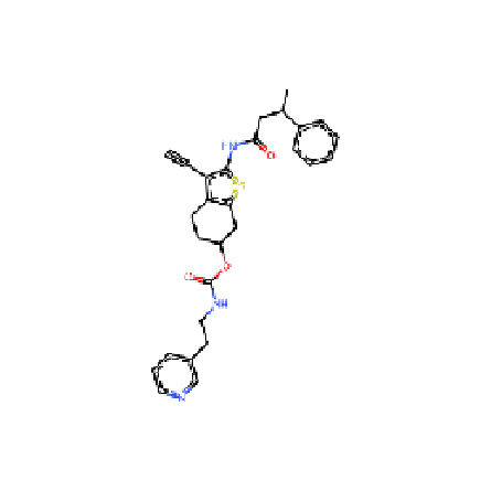 C#Cc1c(NC(=O)CC(C)c2ccccc2)sc2c1CCC(OC(=O)NCCc1cccnc1)C2